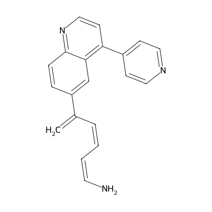 C=C(/C=C\C=C/N)c1ccc2nccc(-c3ccncc3)c2c1